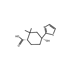 CC1(C)C[C@@](O)(c2nccs2)CC[C@@H]1C(=O)O